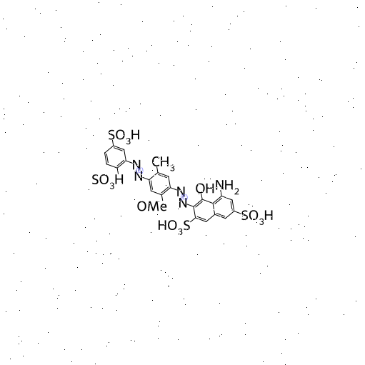 COc1cc(/N=N/c2cc(S(=O)(=O)O)ccc2S(=O)(=O)O)c(C)cc1/N=N/c1c(S(=O)(=O)O)cc2cc(S(=O)(=O)O)cc(N)c2c1O